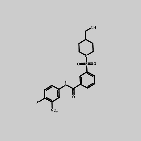 O=C(Nc1ccc(F)c([N+](=O)[O-])c1)c1cccc(S(=O)(=O)N2CCC(CO)CC2)c1